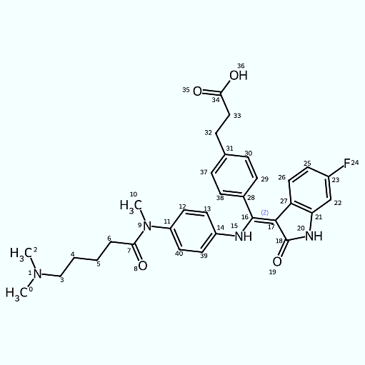 CN(C)CCCCC(=O)N(C)c1ccc(N/C(=C2\C(=O)Nc3cc(F)ccc32)c2ccc(CCC(=O)O)cc2)cc1